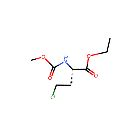 CCOC(=O)[C@H](CCCl)NC(=O)OC